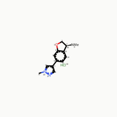 CN[C@@H]1COc2cc(-c3cnn(C)c3)ccc21.Cl